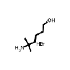 Br.CC(C)(N)CCCCO